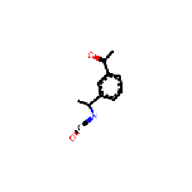 CC(=O)c1cccc(C(C)N=C=O)c1